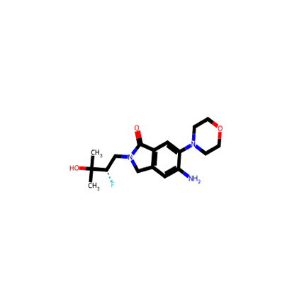 CC(C)(O)[C@@H](F)CN1Cc2cc(N)c(N3CCOCC3)cc2C1=O